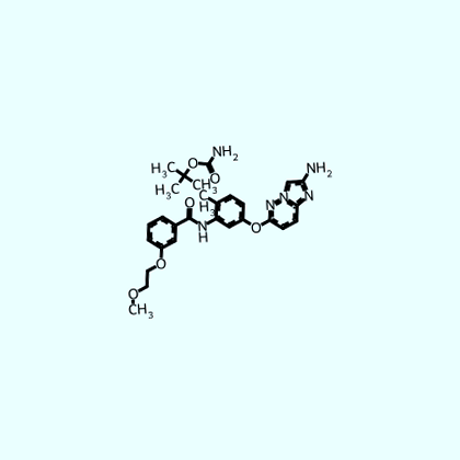 CC(C)(C)OC(N)=O.COCCOc1cccc(C(=O)Nc2cc(Oc3ccc4nc(N)cn4n3)ccc2C)c1